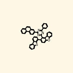 c1ccc(-c2nc(-c3ccc4c(ccc5ccccc54)c3)nc(-c3c(-c4cccc5c4sc4ccccc45)ccc4oc5ccccc5c34)n2)cc1